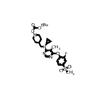 Cc1c(Oc2ccc(S(C)(=O)=O)cc2F)ncnc1N(CC1CCN(OC(=O)OC(C)(C)C)CC1)C1CC1